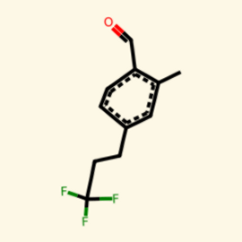 Cc1cc(CCC(F)(F)F)ccc1C=O